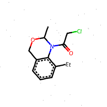 CCc1cccc2c1N(C(=O)CCl)C(C)OC2